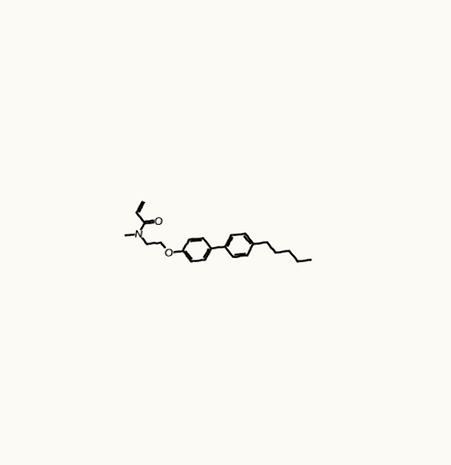 C=CC(=O)N(C)CCOc1ccc(-c2ccc(CCCCC)cc2)cc1